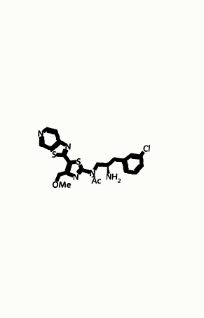 COCc1nc(N(C[C@H](N)Cc2cccc(Cl)c2)C(C)=O)sc1-c1nc2ccncc2s1